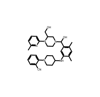 Cc1cccc(N2CCN(C(O)c3cc(NC4CCN(c5ccccc5C#N)CC4)c(C)cc3C)CC2CO)n1